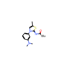 Cc1cn(-c2cccc(N(C)C)c2)/c(=N/C(=O)C(C)(C)C)s1